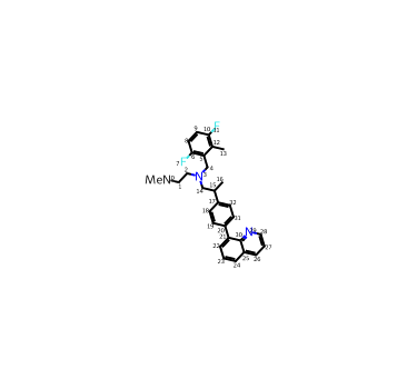 CNCCN(Cc1c(F)ccc(F)c1C)CC(C)c1ccc(-c2cccc3cccnc23)cc1